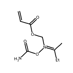 C=CC(=O)OC[N+](OC(N)=O)=C(C)CC